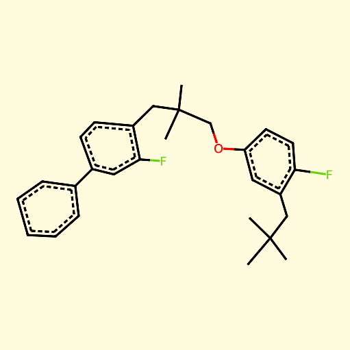 CC(C)(C)Cc1cc(OCC(C)(C)Cc2ccc(-c3ccccc3)cc2F)ccc1F